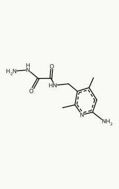 Cc1cc(N)nc(C)c1CNC(=O)C(=O)NN